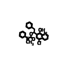 CN(C(=O)OC(Cc1ccccc1)c1cc(Cl)c2cccnc2c1O)c1ccccc1